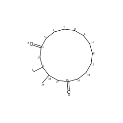 CC1CC(=O)CCCCCCCCCCC(=O)CC1C